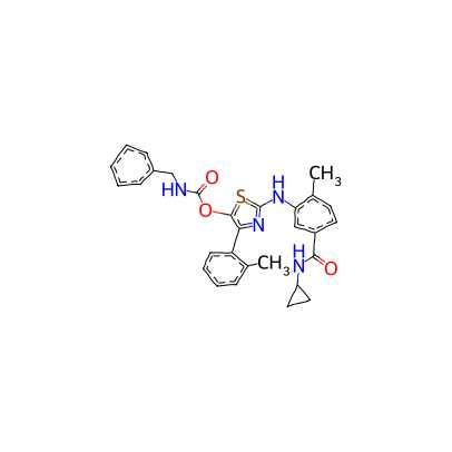 Cc1ccc(C(=O)NC2CC2)cc1Nc1nc(-c2ccccc2C)c(OC(=O)NCc2ccccc2)s1